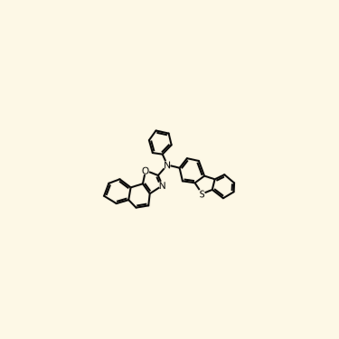 c1ccc(N(c2ccc3c(c2)sc2ccccc23)c2nc3ccc4ccccc4c3o2)cc1